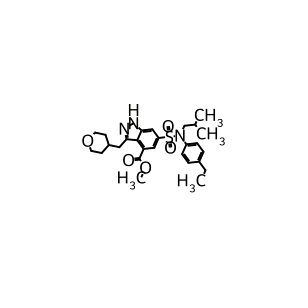 CCc1ccc(N(CC(C)C)S(=O)(=O)c2cc(C(=O)OC)c3c(CC4CCOCC4)n[nH]c3c2)cc1